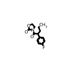 CCCC(C(=O)N1CCOC1=O)c1ccc(F)cc1